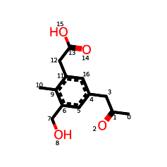 CC(=O)Cc1cc(CO)c(C)c(CC(=O)O)c1